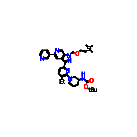 CCc1ccc(-c2nn(COCC[Si](C)(C)C)c3cnc(-c4cccnc4)cc23)nc1N1CCCC(NC(=O)OC(C)(C)C)C1